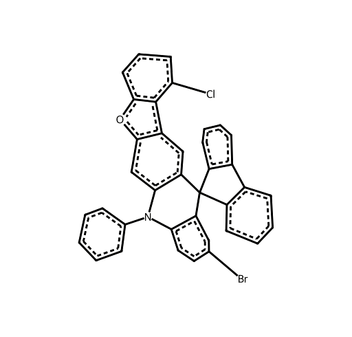 Clc1cccc2oc3cc4c(cc3c12)C1(c2ccccc2-c2ccccc21)c1cc(Br)ccc1N4c1ccccc1